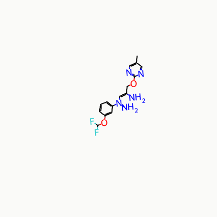 Cc1cnc(OC/C(N)=C/N(N)c2cccc(OC(F)F)c2)nc1